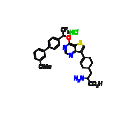 COc1cccc(-c2ccc(C(Oc3ncnc4c(C5=CCC(CC(N)C(=O)O)CC5)csc34)C(F)(F)F)cc2)c1.Cl